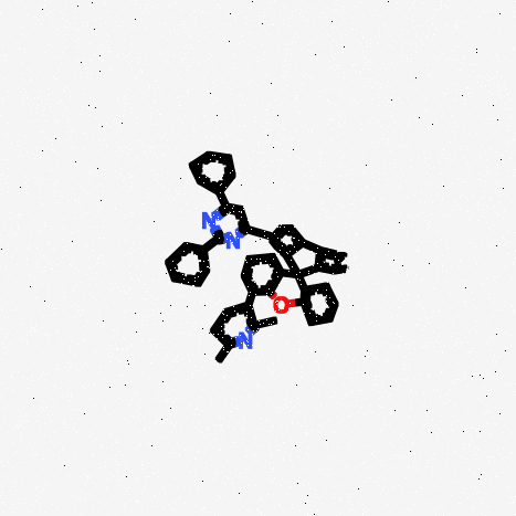 Cc1ccc(-c2cccc3c2Oc2ccccc2C32c3ccccc3-c3ccc(-c4cc(-c5ccccc5)nc(-c5ccccc5)n4)cc32)c(C)n1